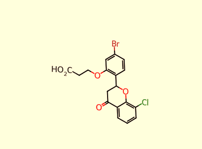 O=C(O)CCOc1cc(Br)ccc1C1CC(=O)c2cccc(Cl)c2O1